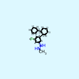 CNNc1cc(F)cc(-c2ccccc2-c2ccccc2)c1